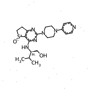 CC(C)[C@H](CO)Nc1nc(N2CCN(c3ccncc3)CC2)nc2c1[S+]([O-])CC2